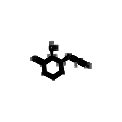 [N-]=[N+]=N[C@H]1CCCC(=O)[C@@H]1O